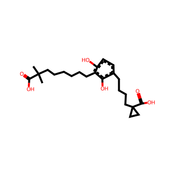 CC(C)(CCCCCCc1c(O)ccc(CCCCC2(C(=O)O)CC2)c1O)C(=O)O